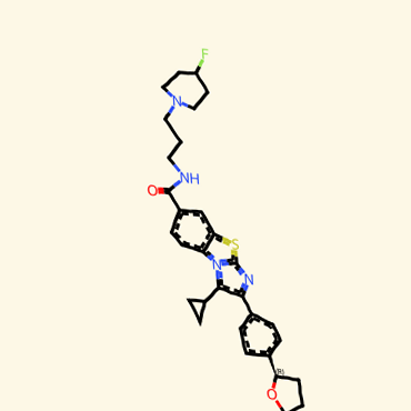 O=C(NCCCN1CCC(F)CC1)c1ccc2c(c1)sc1nc(-c3ccc([C@H]4CCCO4)cc3)c(C3CC3)n12